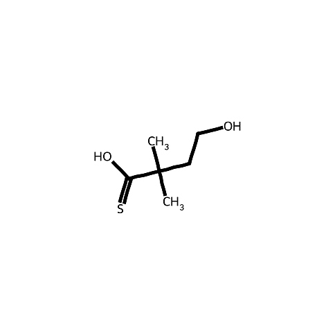 CC(C)(CCO)C(O)=S